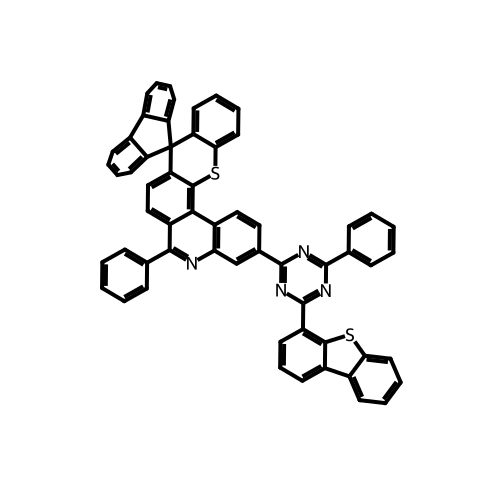 c1ccc(-c2nc(-c3ccc4c(c3)nc(-c3ccccc3)c3ccc5c(c34)Sc3ccccc3C53c4ccccc4-c4ccccc43)nc(-c3cccc4c3sc3ccccc34)n2)cc1